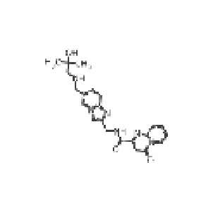 CC(C)(O)CNCc1ccc2nc(CNC(=O)c3cc(=O)n4ccccc4n3)cn2c1